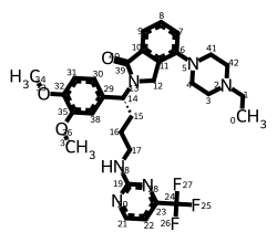 CCN1CCN(c2cccc3c2CN([C@H](CCCNc2nccc(C(F)(F)F)n2)c2ccc(OC)c(OC)c2)C3=O)CC1